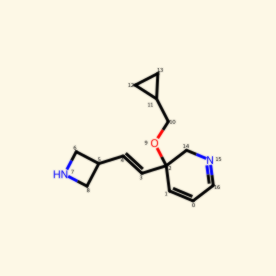 C1=CC(C=CC2CNC2)(OCC2CC2)CN=C1